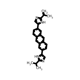 C=C(C)c1ncc(-c2ccc3cc4cc(-c5cnc(C(C)C)[nH]5)ccc4cc3c2)[nH]1